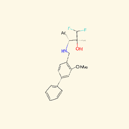 COc1cc(-c2ccccc2)ccc1CN[C@H](C(C)=O)[C@](C)(O)C(F)F